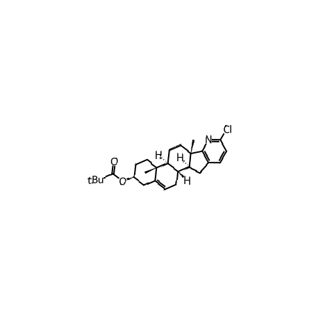 CC(C)(C)C(=O)O[C@H]1CC[C@@]2(C)C(=CC[C@@H]3[C@@H]2CC[C@]2(C)c4nc(Cl)ccc4C[C@@H]32)C1